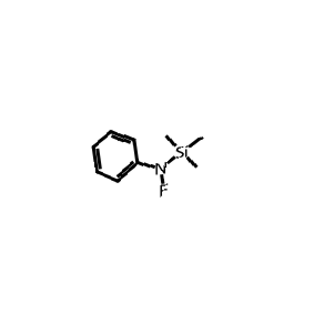 C[Si](C)(C)N(F)c1ccccc1